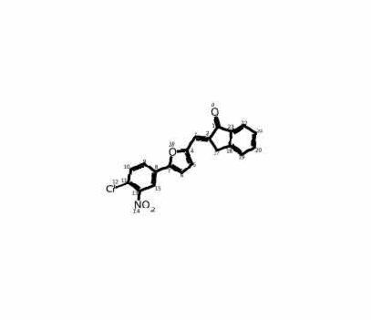 O=C1C(=Cc2ccc(-c3ccc(Cl)c([N+](=O)[O-])c3)o2)Cc2ccccc21